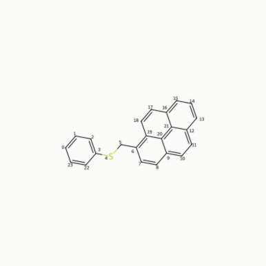 c1ccc(SCc2ccc3ccc4cccc5ccc2c3c45)cc1